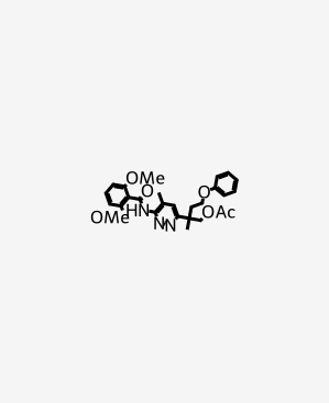 COc1cccc(OC)c1C(=O)Nc1nnc(C(C)(CCOc2ccccc2)COC(C)=O)cc1C